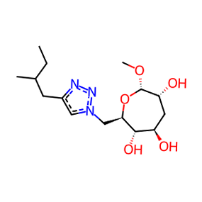 CCC(C)Cc1cn(C[C@H]2O[C@H](OC)[C@H](O)C[C@@H](O)[C@@H]2O)nn1